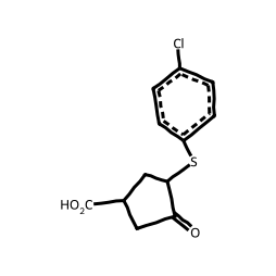 O=C(O)C1CC(=O)C(Sc2ccc(Cl)cc2)C1